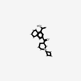 CC(O)c1cc(C(=O)C2CCCN(C3CCC3)C2)cc2c1CCCC2